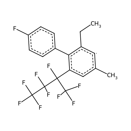 CCc1[c]c(C)cc(C(F)(C(F)(F)F)C(F)(F)C(F)(F)F)c1-c1ccc(F)cc1